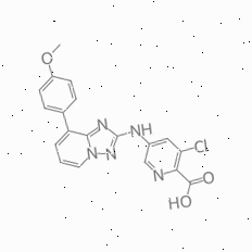 COc1ccc(-c2cccn3nc(Nc4cnc(C(=O)O)c(Cl)c4)nc23)cc1